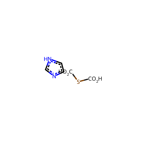 O=C(O)SC(=O)O.c1c[nH]cn1